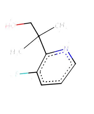 CC(C)(CO)c1ncccc1F